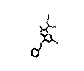 CCOC(O)c1c(C)nc2c(OCc3ccccc3)cc(Br)cn12